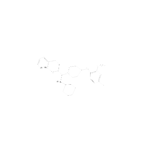 COc1cc(F)ccc1NC1CCN(C(C(=O)C2CCCCC2)C2CCc3ccccc3N2)CC1